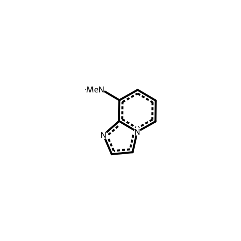 C[N]c1cccn2ccnc12